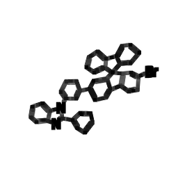 Brc1ccc2c(c1)C1(c3ccccc3-c3ccccc31)c1cc(-c3cccc(-n4c(-c5ccccc5)nc5ccccc54)c3)ccc1-2